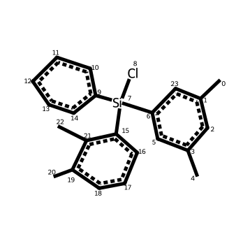 Cc1cc(C)cc([Si](Cl)(c2ccccc2)c2cccc(C)c2C)c1